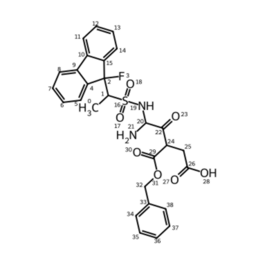 CC(C1(F)c2ccccc2-c2ccccc21)S(=O)(=O)NC(N)C(=O)C(CC(=O)O)C(=O)OCc1ccccc1